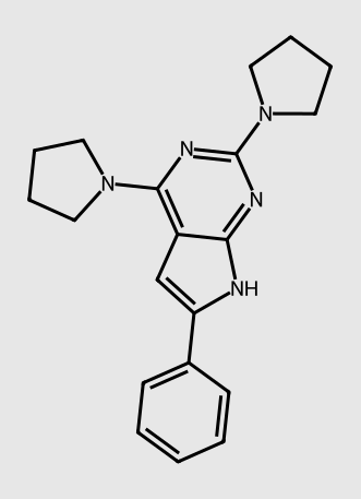 c1ccc(-c2cc3c(N4CCCC4)nc(N4CCCC4)nc3[nH]2)cc1